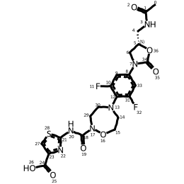 CC(=O)NC[C@H]1CN(c2cc(F)c(N3CCON(C(=O)Nc4nc(C(=O)O)cs4)CC3)c(F)c2)C(=O)O1